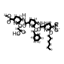 CCCCCCOc1nc(C(=O)Nc2ccc(C(=O)Nc3ccc(C(=O)OC)nc3OCC(=O)O)nc2OCc2ccccc2)ccc1[N+](=O)[O-]